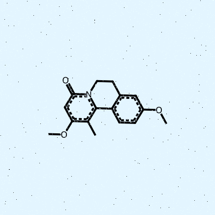 COc1ccc2c(c1)CCn1c-2c(C)c(OC)cc1=O